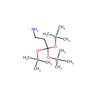 C[Si](C)(C)OC(CCN)(O[Si](C)(C)C)O[Si](C)(C)C